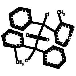 Cc1ccccc1C(Cl)(c1ccccc1)S(=O)(=O)C(Cl)(c1ccccc1)c1ccccc1C